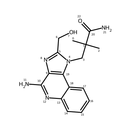 CC(C)(Cn1c(CO)nc2c(N)nc3ccccc3c21)C(N)=O